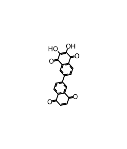 O=C1C=CC(=O)c2cc(-c3ccc4c(c3)C(=O)C(O)=C(O)C4=O)ccc21